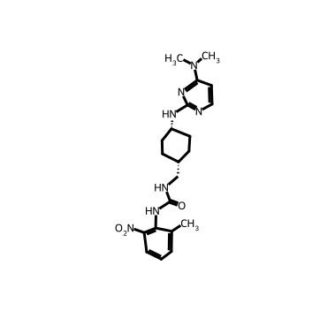 Cc1cccc([N+](=O)[O-])c1NC(=O)NC[C@H]1CC[C@@H](Nc2nccc(N(C)C)n2)CC1